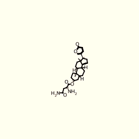 C[C@]12CC[C@H](OC(=O)[C@H](N)CC(N)=O)C[C@H]1CC[C@H]1C3=CC[C@H](c4ccc(=O)oc4)[C@@]3(C)CC[C@@H]12